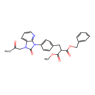 COC(=O)Cn1c(=O)n(-c2ccc(CC(C(=O)OCc3ccccc3)C(=O)OC(C)(C)C)cc2)c2ncccc21